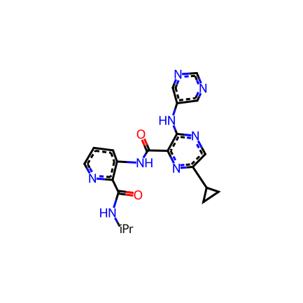 CC(C)NC(=O)c1ncccc1NC(=O)c1nc(C2CC2)cnc1Nc1cncnc1